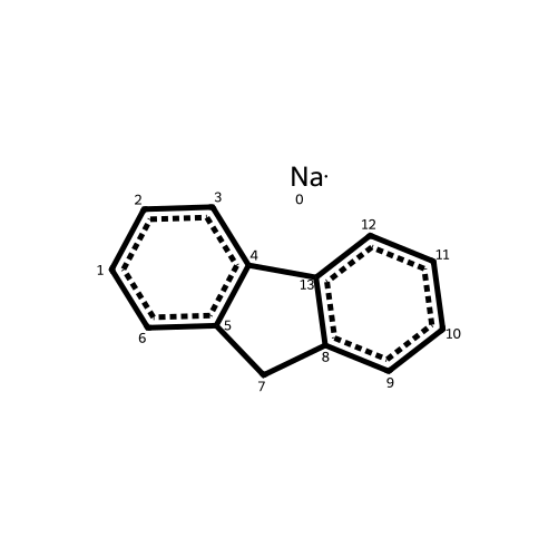 [Na].c1ccc2c(c1)Cc1ccccc1-2